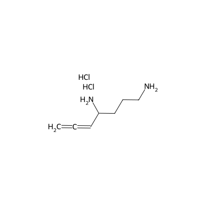 C=C=CC(N)CCCN.Cl.Cl